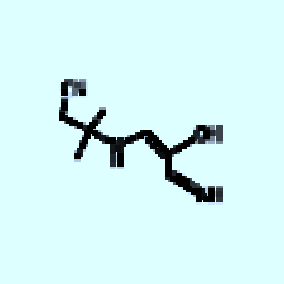 CC(C)(CC#N)N/C=C(/O)C=N